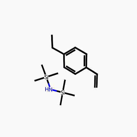 C=Cc1ccc(CC)cc1.C[Si](C)(C)N[Si](C)(C)C